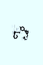 Cc1ccc(-c2noc(Cn3ccnc3)n2)cc1NC(=O)c1cnc2ccccn12